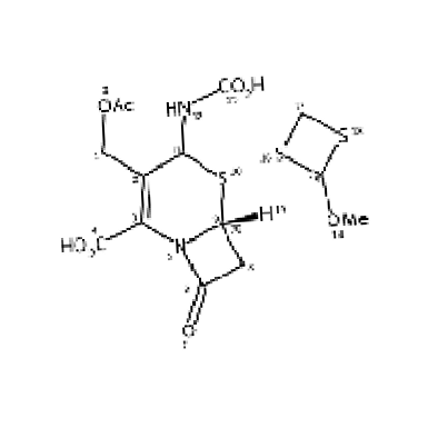 CC(=O)OCC1=C(C(=O)O)N2C(=O)C[C@H]2SC1NC(=O)O.COC1SCS1